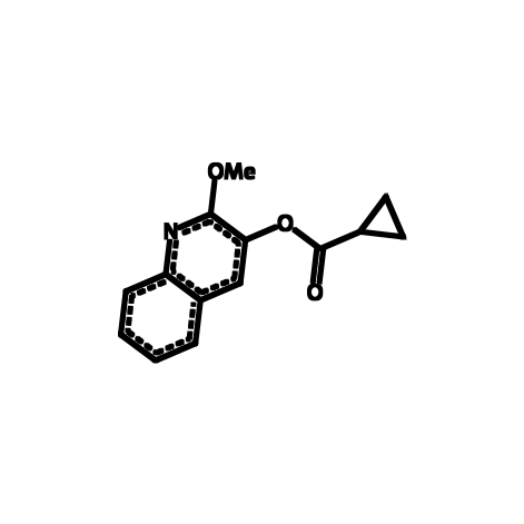 COc1nc2ccccc2cc1OC(=O)C1CC1